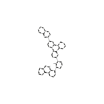 c1cc(-c2ccc3c4ccc(-c5ccc6ccccc6c5)cc4c4ccccc4c3c2)c2c(c1)-c1cccc3c1c(cc1ccccc13)O2